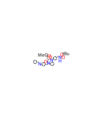 COC(=O)CC1C(=O)N(Cc2ccc(N=Cc3ccccc3)cc2)c2ccccc2N(c2ccc(CNC(=O)OC(C)(C)C)cc2)C1=O